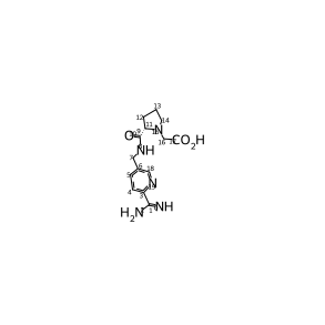 N=C(N)c1ccc(CNC(=O)[C@@H]2CCCN2CC(=O)O)cn1